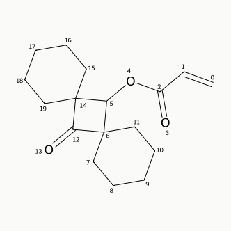 C=CC(=O)OC1C2(CCCCC2)C(=O)C12CCCCC2